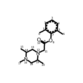 Cc1cccc(C)c1OC(=O)CN1CC(C)N(C)CC1C